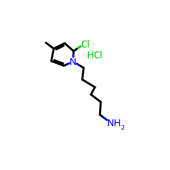 CC1=CC(Cl)N(CCCCCCN)C=C1.Cl